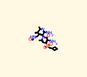 C=C1C(CNC=O)=C(n2c(C)cc(S(=O)(=O)CC3CCC3)c(N)c2=O)C(N)=NC1C